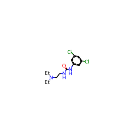 CCN(CC)CCNC(=O)Nc1cc(Cl)cc(Cl)c1